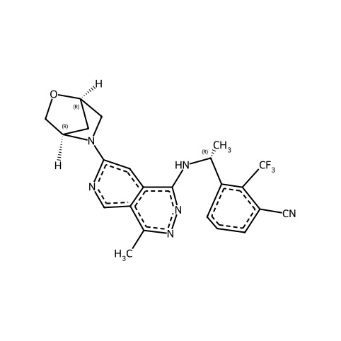 Cc1nnc(N[C@H](C)c2cccc(C#N)c2C(F)(F)F)c2cc(N3C[C@H]4C[C@@H]3CO4)ncc12